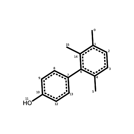 Cc1ccc(C)c(-c2ccc(O)cc2)c1C